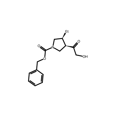 CC[C@@H]1CN(C(=O)OCc2ccccc2)C[C@@H]1C(=O)CO